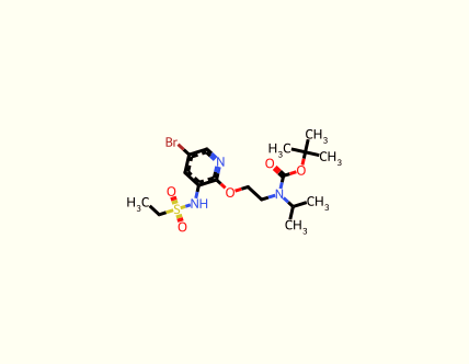 CCS(=O)(=O)Nc1cc(Br)cnc1OCCN(C(=O)OC(C)(C)C)C(C)C